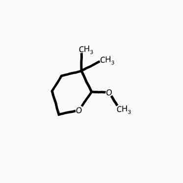 COC1OCCCC1(C)C